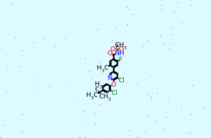 Cc1cc(C(=O)NS(C)(=O)=O)c(F)cc1-c1cnc(Oc2ccc(C(C)(C)C)cc2Cl)c(Cl)c1